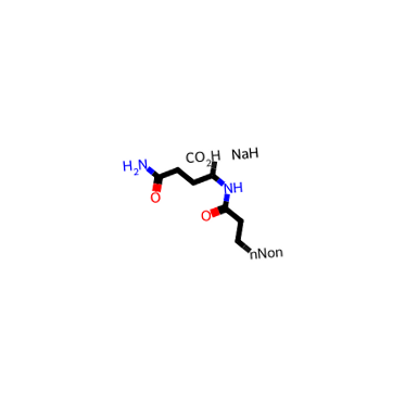 CCCCCCCCCCCC(=O)NC(CCC(N)=O)C(=O)O.[NaH]